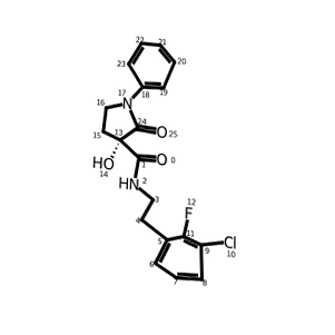 O=C(NCCc1cccc(Cl)c1F)[C@@]1(O)CCN(c2ccccc2)C1=O